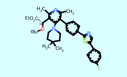 CCOC(=O)[C@@H](OC(C)(C)C)c1c(C)nc(C)c(-c2ccc(-c3ncc(-c4ccc(F)cc4)s3)cc2)c1N1CCC(C)(C)CC1